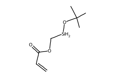 C=CC(=O)OC[SiH2]OC(C)(C)C